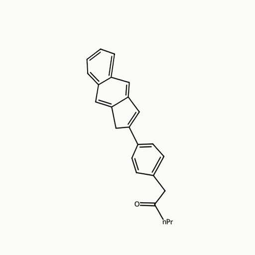 CCCC(=O)Cc1ccc(C2=Cc3cc4ccccc4cc3C2)cc1